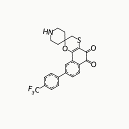 O=C1C(=O)c2ccc(-c3ccc(C(F)(F)F)cc3)cc2C2=C1SCC1(CCNCC1)O2